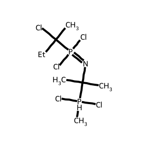 CCC(C)(Cl)P(Cl)(Cl)=NC(C)(C)[PH](C)(Cl)Cl